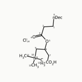 CCCCCCCCCCCCC(=O)OC(CC(=O)O)C[N+](C)(C)C.[Cl-]